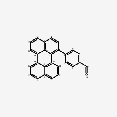 O=Cc1ccc(-c2ccc3cccc4c5cccc6cccc(c2c34)c65)cc1